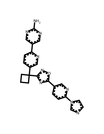 Nc1ncc(-c2ccc(C3(c4noc(-c5ccc(-n6ccnc6)nc5)n4)CCC3)cn2)cn1